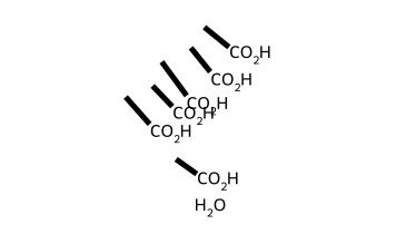 CC(=O)O.CC(=O)O.CC(=O)O.CC(=O)O.CC(=O)O.CC(=O)O.O